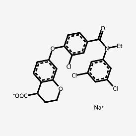 CCN(C(=O)c1ccc(Oc2ccc3c(c2)OCCC3C(=O)[O-])c(Cl)c1)c1cc(Cl)cc(Cl)c1.[Na+]